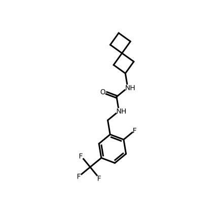 O=C(NCc1cc(C(F)(F)F)ccc1F)NC1CC2(CCC2)C1